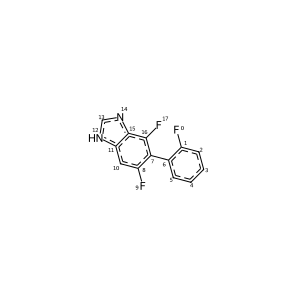 Fc1ccccc1-c1c(F)cc2[nH]cnc2c1F